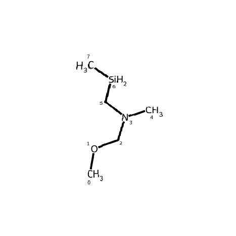 COCN(C)C[SiH2]C